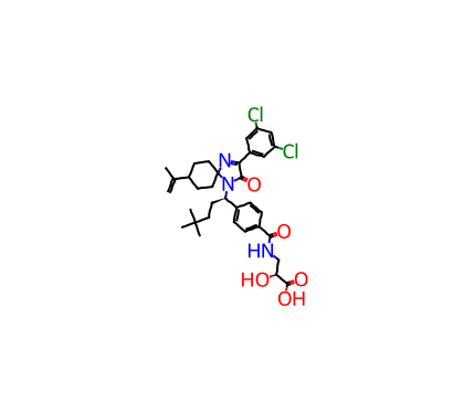 C=C(C)C1CCC2(CC1)N=C(c1cc(Cl)cc(Cl)c1)C(=O)N2[C@H](CCC(C)(C)C)c1ccc(C(=O)NC[C@H](O)C(=O)O)cc1